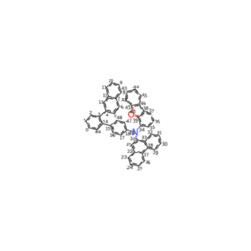 c1ccc(-c2ccc3ccccc3c2)c(-c2ccc(N(c3cc4ccccc4c4ccccc34)c3cccc4c3oc3ccccc34)cc2)c1